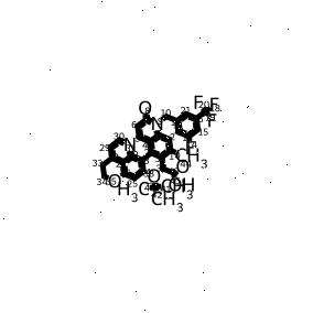 Cc1cc2c(ccc(=O)n2Cc2cc(F)cc(C(F)(F)F)c2)c(-c2ccc3c4c(ccnc24)CCO3)c1C(OC(C)(C)C)C(=O)O